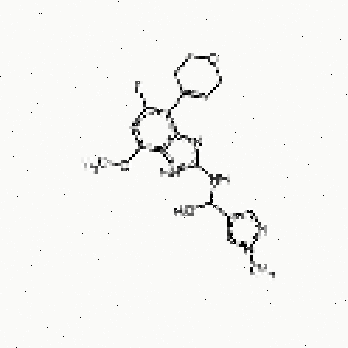 COc1cc(F)c(C2=CCOCC2)c2nc(NC(O)c3cnn(C)c3)[nH]c12